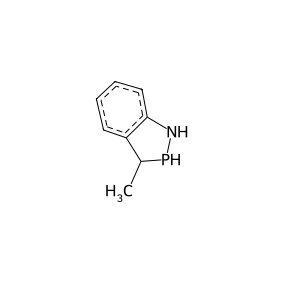 CC1PNc2ccccc21